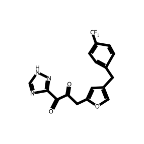 O=C(Cc1cc(Cc2ccc(C(F)(F)F)cc2)co1)C(=O)c1nc[nH]n1